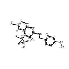 CCSc1ccc(CNc2nc3cnc(Cl)nc3n(C3(C)CC3(F)F)c2=O)nc1